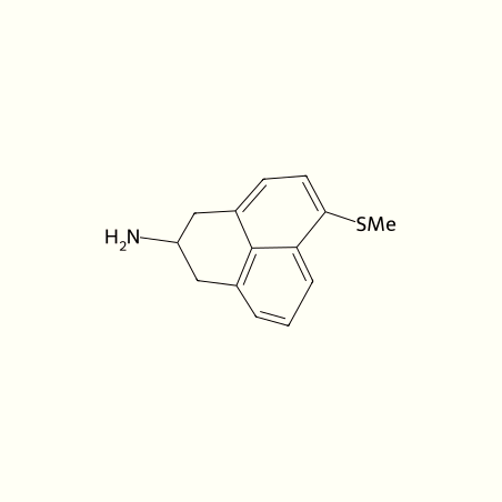 CSc1ccc2c3c(cccc13)CC(N)C2